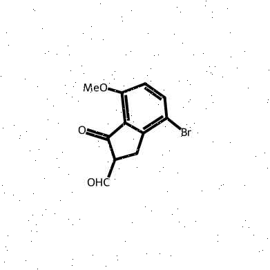 COc1ccc(Br)c2c1C(=O)C(C=O)C2